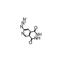 [N-]=[N+]=Nc1cc2c(=O)[nH][nH]c(=O)c2cn1